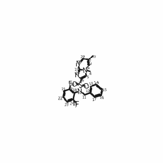 CC1=C[N+]2(C)C=C(S(=O)(=O)N(Cc3ccccc3)c3c(F)cccc3F)N=C2N=C1